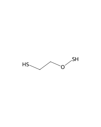 SCCOS